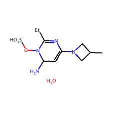 CCC1=NC(N2CC(C)C2)=CC(N)N1OS(=O)(=O)O.O